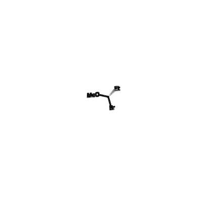 CC[C@H](Br)OC